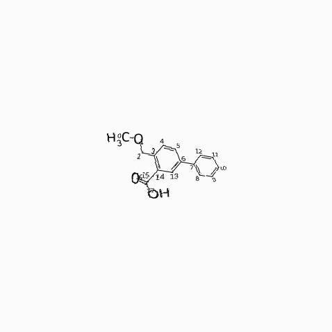 COCc1ccc(-c2ccccc2)cc1C(=O)O